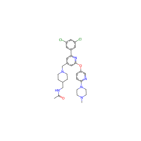 CC(=O)NCC1CCN(Cc2cc(Oc3ccc(N4CCN(C)CC4)nc3)nc(-c3cc(Cl)cc(Cl)c3)c2)CC1